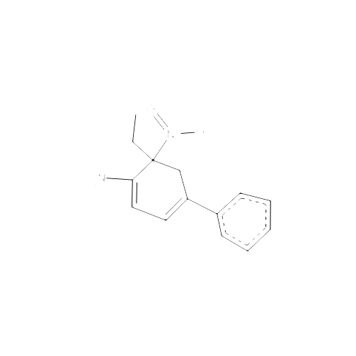 CCC1([N+](=O)[O-])CC(c2ccccc2)=CC=C1N